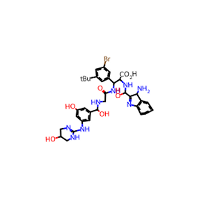 CC(C)(C)c1cc(Br)cc(C(NC(=O)CNC(O)c2cc(O)cc(NC3=NCC(O)CN3)c2)C(NC(O)C2=Nc3ccccc3C2N)C(=O)O)c1